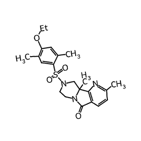 CCOc1cc(C)c(S(=O)(=O)N2CCN3C(=O)c4ccc(C)nc4C3(C)C2)cc1C